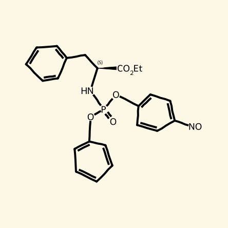 CCOC(=O)[C@H](Cc1ccccc1)NP(=O)(Oc1ccccc1)Oc1ccc(N=O)cc1